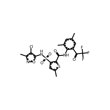 Cc1cc(C)c(NC(=O)c2sc(C)cc2S(=O)(=O)Nc2onc(C)c2Cl)c(C(=O)C(F)(F)F)c1